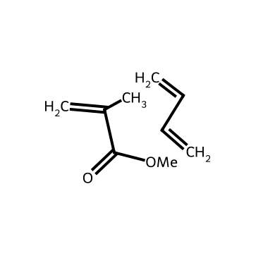 C=C(C)C(=O)OC.C=CC=C